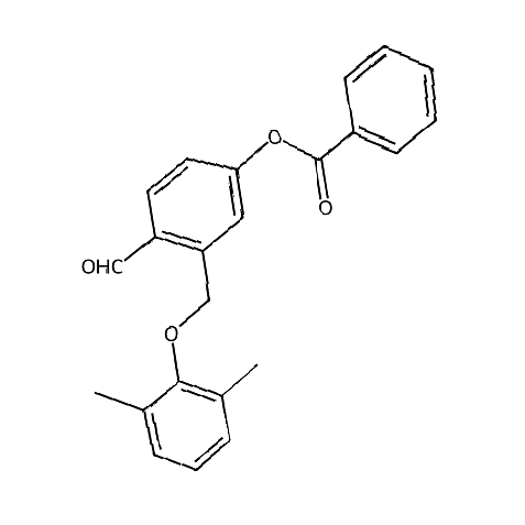 Cc1cccc(C)c1OCc1cc(OC(=O)c2ccccc2)ccc1C=O